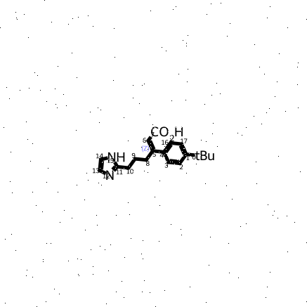 CC(C)(C)c1ccc(/C(=C\C(=O)O)CCCc2ncc[nH]2)cc1